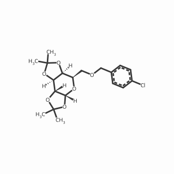 CC1(C)O[C@H]2[C@@H](O1)[C@@H](COCc1ccc(Cl)cc1)O[C@@H]1OC(C)(C)O[C@@H]12